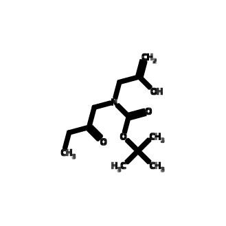 C=C(O)CN(CC(=O)CC)C(=O)OC(C)(C)C